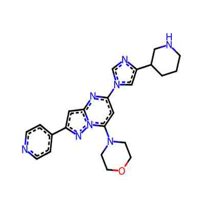 c1cc(-c2cc3nc(-n4cnc(C5CCCNC5)c4)cc(N4CCOCC4)n3n2)ccn1